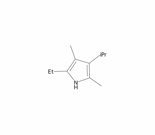 CCc1[nH]c(C)c(C(C)C)c1C